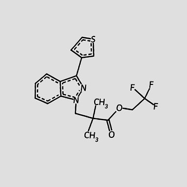 CC(C)(Cn1nc(-c2ccsc2)c2ccccc21)C(=O)OCC(F)(F)F